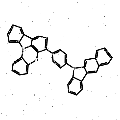 c1ccc2c(c1)Oc1c(-c3ccc(-n4c5ccccc5c5cc6ccccc6cc54)cc3)ccc3c4ccccc4n-2c13